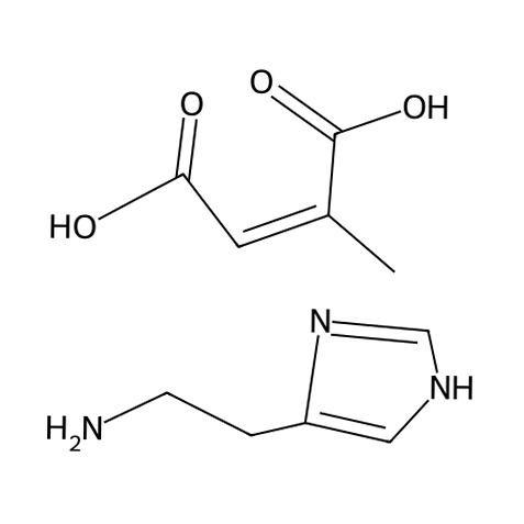 C/C(=C/C(=O)O)C(=O)O.NCCc1c[nH]cn1